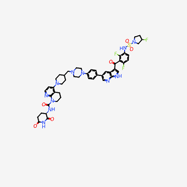 O=C1CC[C@@H](NC(=O)N2CCCc3c(N4CCC(CN5CCN(c6ccc(-c7cnc8[nH]cc(C(=O)c9c(F)ccc(NS(=O)(=O)N%10CC[C@@H](F)C%10)c9F)c8c7)cc6)CC5)CC4)ccnc32)C(=O)N1